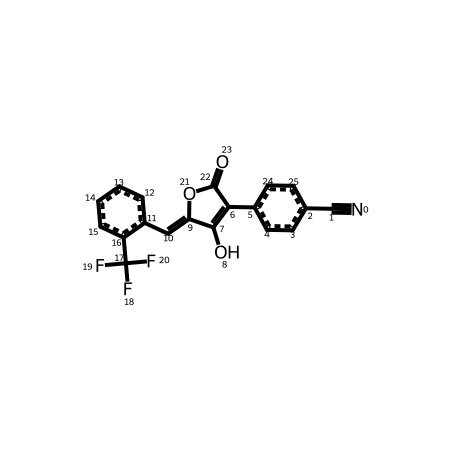 N#Cc1ccc(C2=C(O)C(=Cc3ccccc3C(F)(F)F)OC2=O)cc1